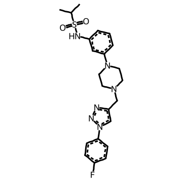 CC(C)S(=O)(=O)Nc1cccc(N2CCN(Cc3cn(-c4ccc(F)cc4)nn3)CC2)c1